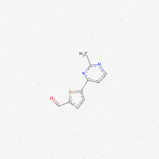 Cc1nccc(-c2ccc(C=O)s2)n1